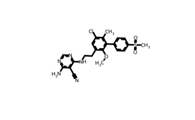 COc1c(CCNc2ncnc(N)c2C#N)cc(Cl)c(C)c1-c1ccc(S(C)(=O)=O)cc1